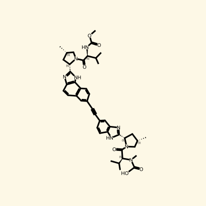 COC(=O)N[C@H](C(=O)N1C[C@@H](C)C[C@H]1c1nc2ccc3cc(C#Cc4ccc5[nH]c([C@@H]6C[C@H](C)CN6C(=O)[C@H](C(C)C)N(C)C(=O)O)nc5c4)ccc3c2[nH]1)C(C)C